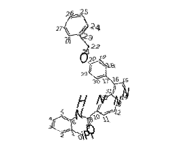 CC(C)c1ccccc1NC(=O)c1ccn2ncc(-c3ccc(OCc4ccccc4)cc3)c2n1